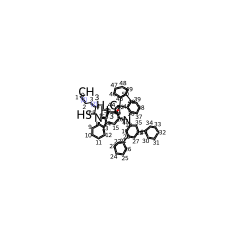 C/C=C\C=C/C(S)n1c2ccccc2c2cc(N(c3cc(-c4ccccc4)cc(-c4ccccc4)c3)c3cccc4c3C(C)(C)c3ccccc3-4)ccc21